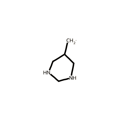 [CH2]C1CNCNC1